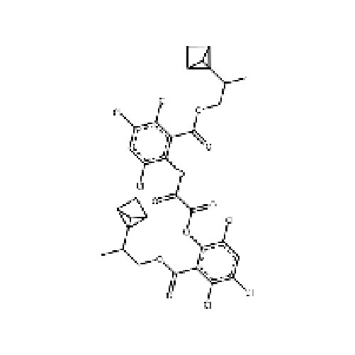 CC(COC(=O)c1c(Cl)c(Cl)cc(Cl)c1OC(=O)C(=O)Oc1c(Cl)cc(Cl)c(Cl)c1C(=O)OCC(C)C1C2CC1C2)C1C2CC1C2